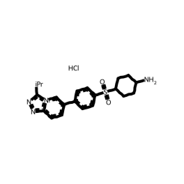 CC(C)c1nnc2ccc(-c3ccc(S(=O)(=O)C4CCC(N)CC4)cc3)cn12.Cl